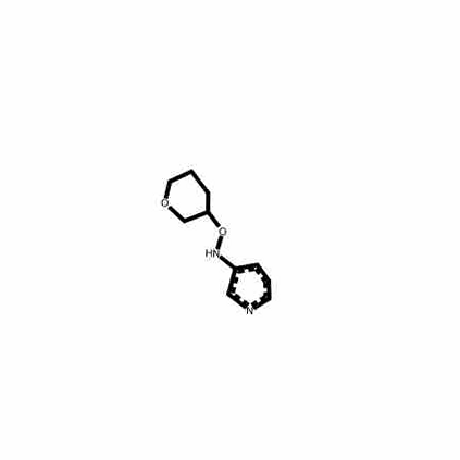 c1cncc(NOC2CCCOC2)c1